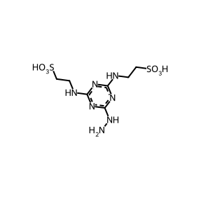 NNc1nc(NCCS(=O)(=O)O)nc(NCCS(=O)(=O)O)n1